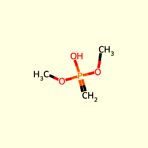 C=P(O)(OC)OC